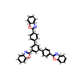 c1ccc2oc(-c3ccc(-c4cc(-c5ccc(-c6nc7ccccc7o6)cc5)cc(-c5nc6ccccc6o5)c4)cc3)nc2c1